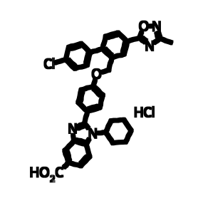 Cc1noc(-c2ccc(-c3ccc(Cl)cc3)c(COc3ccc(-c4nc5cc(C(=O)O)ccc5n4C4CCCCC4)cc3)c2)n1.Cl